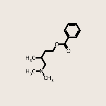 CC(CCOC(=O)c1ccccc1)CN(C)C